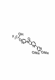 COc1cc(-c2ccc3c(n2)CN(c2ccc(OC(CO)C(F)(F)F)nc2)C3=O)cnc1OC